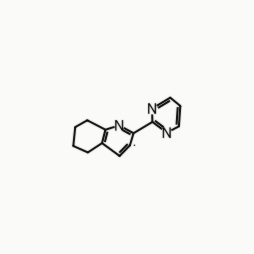 [c]1cc2c(nc1-c1ncccn1)CCCC2